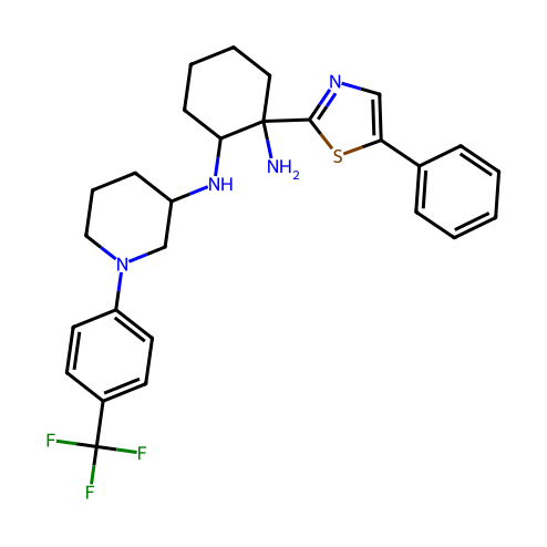 NC1(c2ncc(-c3ccccc3)s2)CCCCC1NC1CCCN(c2ccc(C(F)(F)F)cc2)C1